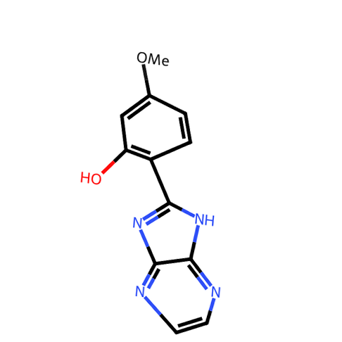 COc1ccc(-c2nc3nccnc3[nH]2)c(O)c1